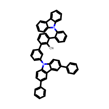 N#Cc1c(-c2cccc(-n3c4ccc(-c5ccccc5)cc4c4cc(-c5ccccc5)ccc43)c2)cccc1-c1ccccc1-n1c2ccccc2c2ccccc21